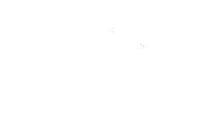 N#Cc1cccc(-c2ccccc2)c1CN